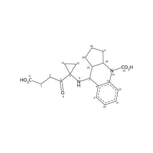 O=C(O)CCC(=O)C1(NC2c3ccccc3N(C(=O)O)C3CCCC23)CC1